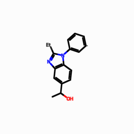 CCc1nc2cc(C(C)O)ccc2n1-c1c[c]ccc1